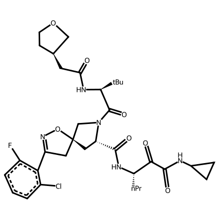 CCC[C@H](NC(=O)[C@@H]1C[C@]2(CC(c3c(F)cccc3Cl)=NO2)CN1C(=O)[C@@H](NC(=O)C[C@H]1CCOC1)C(C)(C)C)C(=O)C(=O)NC1CC1